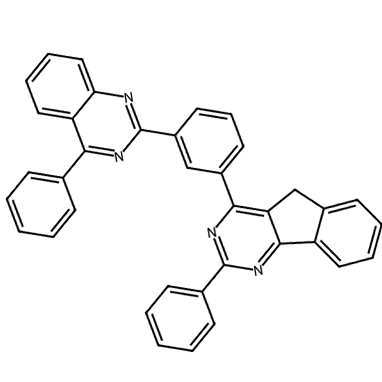 c1ccc(-c2nc(-c3cccc(-c4nc(-c5ccccc5)c5ccccc5n4)c3)c3c(n2)-c2ccccc2C3)cc1